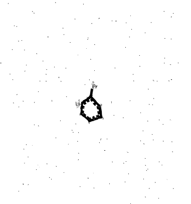 CC(C)c1[c]cccc1.[LiH]